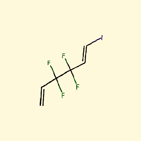 C=CC(F)(F)C(F)(F)C=CI